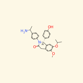 COc1cc2c(cc1OC(C)C)[C@@H](c1ccc(O)cc1)N(c1ccc(C(C)N)cc1)C(=O)C2